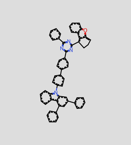 C1=c2oc3ccccc3c2=C(c2nc(-c3ccccc3)nc(-c3ccc(-c4ccc(-n5c6ccccc6c6c(-c7ccccc7)cc(-c7ccccc7)cc65)cc4)cc3)n2)CC1